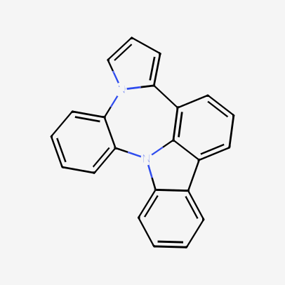 c1ccc2c(c1)c1cccc3c4cccn4c4ccccc4n2c13